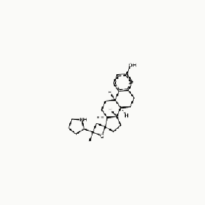 C[C@]12CC[C@@H]3c4ccc(O)cc4CC[C@H]3[C@@H]1CC[C@@]21C[C@@](C)([C@H]2CCCN2)O1